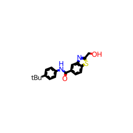 CC(C)(C)c1ccc(NC(=O)c2ccc3sc(CO)nc3c2)cc1